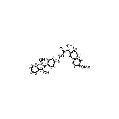 COc1ccc2cc(C(C)C(=O)OCCc3ccc(N4C(O)c5ccccc5C4O)cc3)ccc2c1